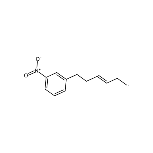 [CH2]CC=CCCc1cccc([N+](=O)[O-])c1